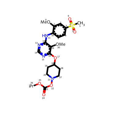 COc1cc(S(C)(=O)=O)ccc1Nc1ncnc(OC2CCN(OC(=O)OC(C)C)CC2)c1OC